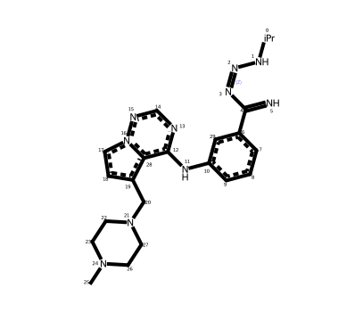 CC(C)N/N=N\C(=N)c1cccc(Nc2ncnn3ccc(CN4CCN(C)CC4)c23)c1